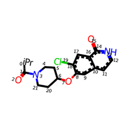 CC(C)C(=O)N1CCC(Oc2cc3cc[nH]c(=O)c3cc2Cl)CC1